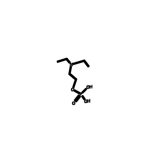 CCN(CC)CCOP(=O)(O)O